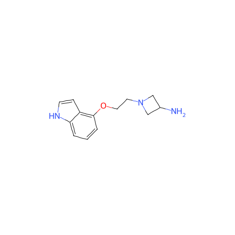 NC1CN(CCOc2cccc3[nH]ccc23)C1